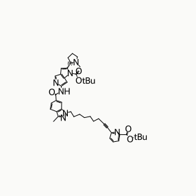 Cc1nn(CCCCCCCC#Cc2cccc(C(=O)OC(C)(C)C)n2)c2cc(C(=O)Nc3cc4c(cn3)cc([C@H]3CCCN3C)n4C(=O)OC(C)(C)C)ccc12